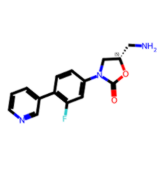 NC[C@H]1CN(c2ccc(-c3cccnc3)c(F)c2)C(=O)O1